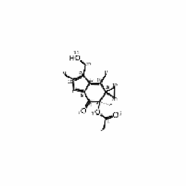 CC(=O)O[C@@]1(C)C(=O)C2=CC(C)=C(CO)C2=C(C)C12CC2